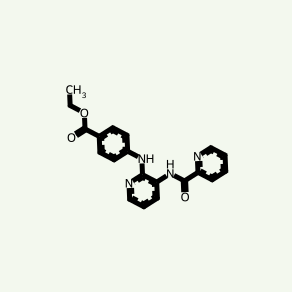 CCOC(=O)c1ccc(Nc2ncccc2NC(=O)c2ccccn2)cc1